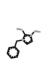 CCCCCCCCCCc1n(Cc2ccccc2)cc[n+]1CCCCCCCCC